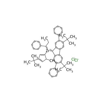 CC/[C](c1ccccc1)=[Zr+2](/[C]1=CC(C(C)(C)C)=CC1C)[CH]1c2cc(-c3ccccc3)c(C(C)(C)C)cc2-c2cc(C(C)(C)C)c(-c3ccccc3)cc21.[Cl-].[Cl-]